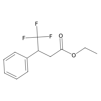 CCOC(=O)CC(c1ccccc1)C(F)(F)F